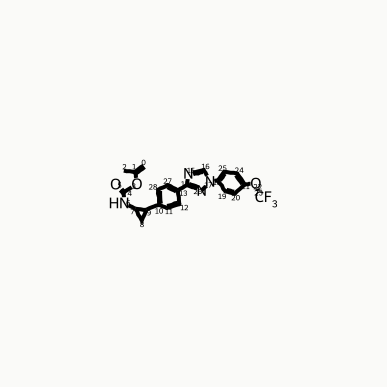 C=C(C)OC(=O)NC1CC1c1ccc(-c2ncn(-c3ccc(OC(F)(F)F)cc3)n2)cc1